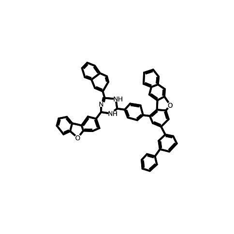 c1ccc(-c2cccc(-c3cc(-c4ccc(C5NC(c6ccc7ccccc7c6)=NC(c6ccc7oc8ccccc8c7c6)N5)cc4)c4c(c3)oc3cc5ccccc5cc34)c2)cc1